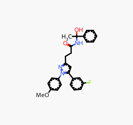 COc1ccc(-n2nc(CCC(=O)NC(C)(O)c3ccccc3)cc2-c2cccc(F)c2)cc1